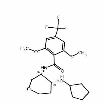 COc1cc(C(F)(F)F)cc(SC)c1C(=O)N[C@H]1COCC[C@H]1NC1CCCC1